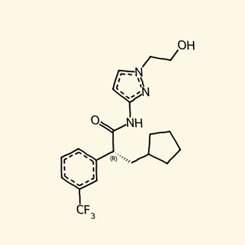 O=C(Nc1ccn(CCO)n1)[C@H](CC1CCCC1)c1cccc(C(F)(F)F)c1